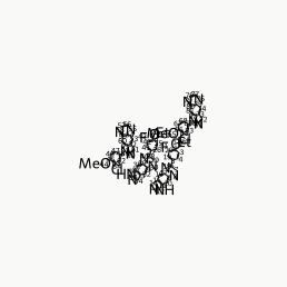 CCOc1ccc(-c2cnc3cc4[nH]ncc4cc3n2)cc1F.CCOc1ccc(-c2cnc3cc4cn[nH]c4cc3n2)cc1F.COc1ccc(-n2ncc3cc4nccnc4cc32)cc1Cl.COc1ccc(-n2ncc3cc4nccnc4cc32)cc1Cl